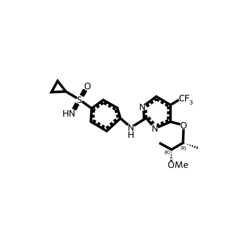 CO[C@H](C)[C@@H](C)Oc1nc(Nc2ccc(S(=N)(=O)C3CC3)cc2)ncc1C(F)(F)F